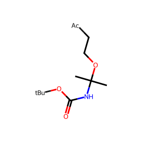 CC(=O)CCOC(C)(C)NC(=O)OC(C)(C)C